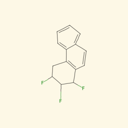 FC1Cc2c(ccc3ccccc23)C(F)C1F